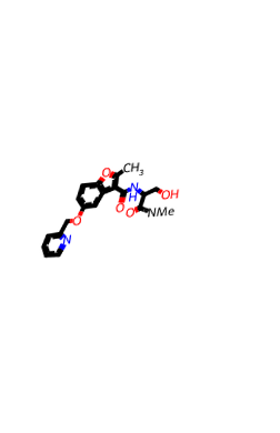 CNC(=O)C(CO)NC(=O)c1c(C)oc2ccc(OCc3ccccn3)cc12